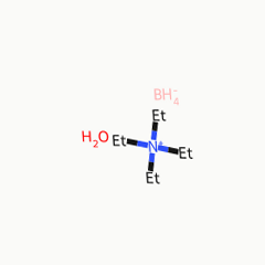 CC[N+](CC)(CC)CC.O.[BH4-]